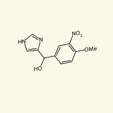 COc1ccc(C(O)c2c[nH]cn2)cc1[N+](=O)[O-]